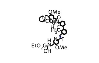 CCOC(=O)[C@@H](CO)NCc1cnc(/C(F)=C/c2cccc(-c3cccc(NC(=O)c4cc(OC)c(CN5CCCC[C@H]5C(=O)O)cn4)c3C)c2C)cc1OC